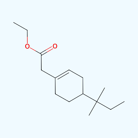 CCOC(=O)CC1=CCC(C(C)(C)CC)CC1